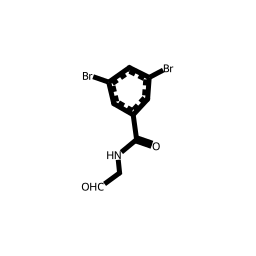 O=CCNC(=O)c1cc(Br)cc(Br)c1